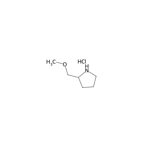 COCC1CCCN1.Cl